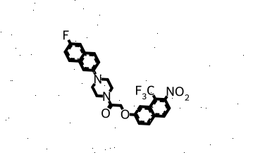 O=C(COc1ccc2ccc([N+](=O)[O-])c(C(F)(F)F)c2c1)N1CCN(c2ccc3cc(F)ccc3c2)CC1